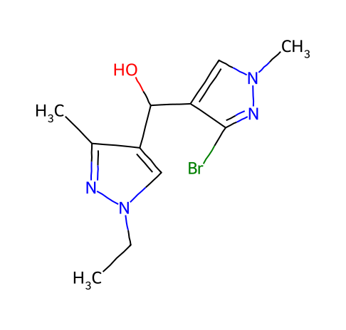 CCn1cc(C(O)c2cn(C)nc2Br)c(C)n1